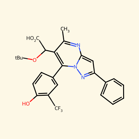 Cc1nc2cc(-c3ccccc3)nn2c(-c2ccc(O)c(C(F)(F)F)c2)c1C(OC(C)(C)C)C(=O)O